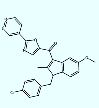 COc1ccc2c(c1)c(C(=O)c1cnc(-c3ccnnc3)o1)c(C)n2Cc1ccc(Cl)cc1